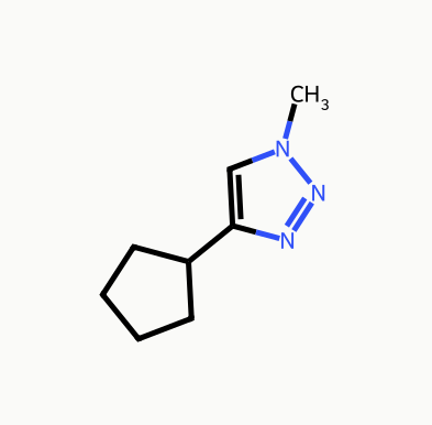 Cn1cc(C2CCCC2)nn1